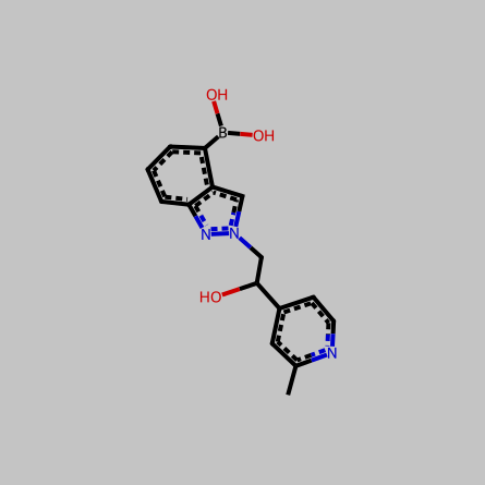 Cc1cc(C(O)Cn2cc3c(B(O)O)cccc3n2)ccn1